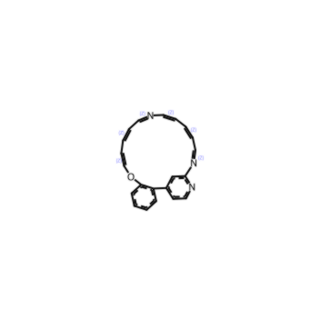 C1=C\C=N/C=C\C=C/C=N\c2cc(ccn2)-c2ccccc2O\C=C/1